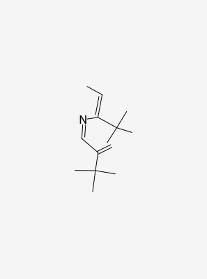 C=C(/C=N\C(=C/C)C(C)(C)C)C(C)(C)C